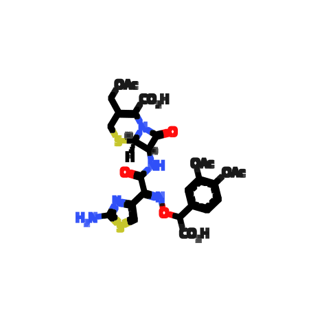 CC(=O)OCC1=C(C(=O)O)N2C(=O)[C@@H](NC(=O)C(=NOC(C(=O)O)c3ccc(OC(C)=O)c(OC(C)=O)c3)c3csc(N)n3)[C@H]2SC1